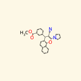 COC(=O)c1cccc(C2C(C#N)=C(n3cccc3)Oc3c2ccc2ccccc32)c1